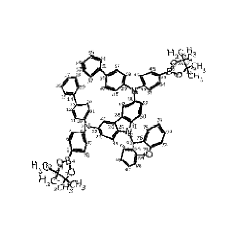 CC1(C)OB(c2ccc(N(c3ccc(-c4ccccc4)cc3)c3ccc4c(c3)c3cc(N(c5ccc(B6OC(C)(C)C(C)(C)O6)cc5)c5ccc(-c6ccccc6)cc5)ccc3n4C3c4ccccc4Oc4ccccc43)cc2)OC1(C)C